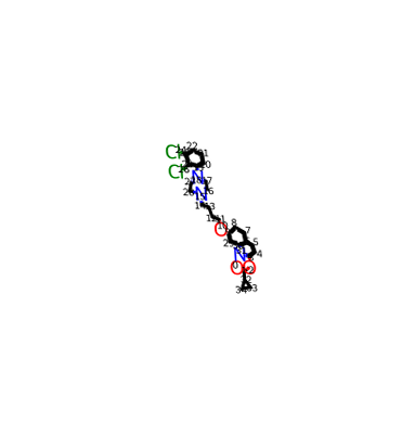 O=C(Oc1ccc2ccc(OCCCCN3CCN(c4cccc(Cl)c4Cl)CC3)cc2n1)C1CC1